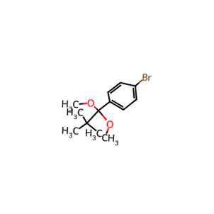 COC(OC)(c1ccc(Br)cc1)C(C)(C)C